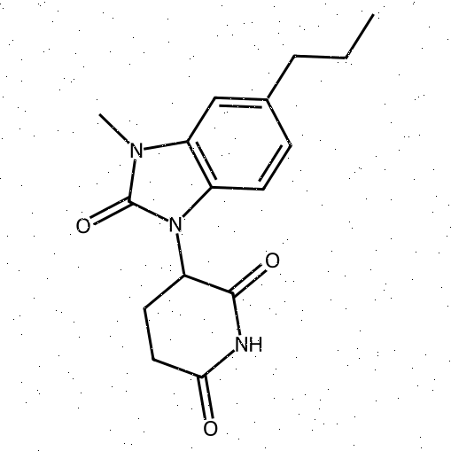 CCCc1ccc2c(c1)n(C)c(=O)n2C1CCC(=O)NC1=O